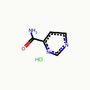 Cl.NC(=O)c1ccncn1